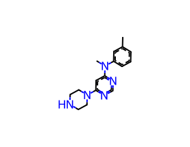 Cc1cccc(N(C)c2cc(N3CCNCC3)ncn2)c1